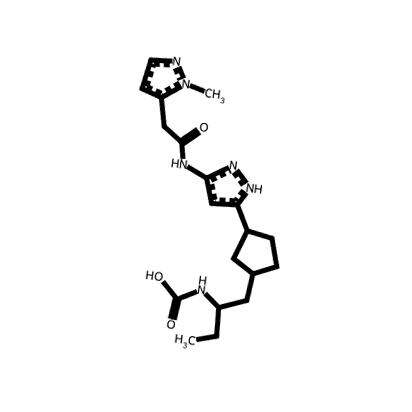 CCC(CC1CCC(c2cc(NC(=O)Cc3ccnn3C)n[nH]2)C1)NC(=O)O